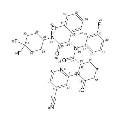 N#Cc1ccnc(N2C(=O)CCC[C@H]2C(=O)N(c2cccc(F)c2)C(C(=O)NC2CCC(F)(F)CC2)c2ccccc2Cl)c1